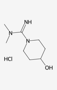 CN(C)C(=N)N1CCC(O)CC1.Cl